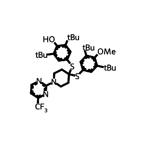 COc1c(C(C)(C)C)cc(SC2(Sc3cc(C(C)(C)C)c(O)c(C(C)(C)C)c3)CCN(c3nccc(C(F)(F)F)n3)CC2)cc1C(C)(C)C